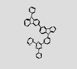 c1ccc(-c2nc(-c3cccc(-n4c5ccccc5c5cc(-c6ccc7c(c6)c6ccccc6n7-c6ccccc6)ccc54)c3)nc(-c3ccccn3)n2)cc1